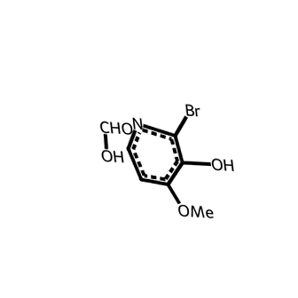 COc1ccnc(Br)c1O.O=CO